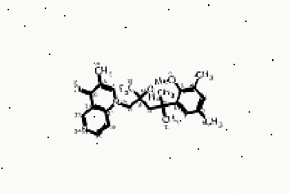 COc1c(C)cc(C)cc1C(C)(C)CC(O)(Cn1cc(C)c(=O)c2cnccc21)C(F)(F)F